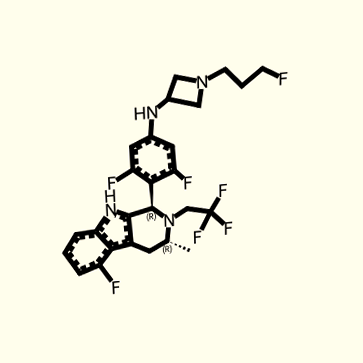 C[C@@H]1Cc2c([nH]c3cccc(F)c23)[C@@H](c2c(F)cc(NC3CN(CCCF)C3)cc2F)N1CC(F)(F)F